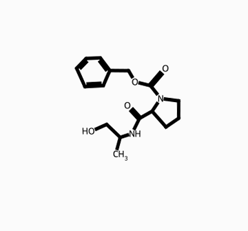 CC(CO)NC(=O)C1CCCN1C(=O)OCc1ccccc1